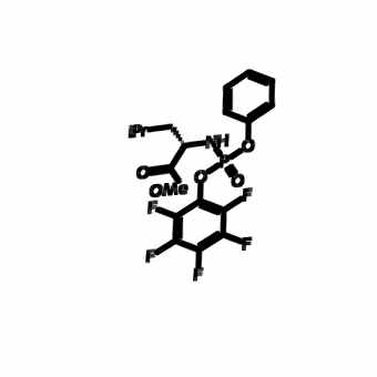 COC(=O)[C@H](CC(C)C)NP(=O)(Oc1ccccc1)Oc1c(F)c(F)c(F)c(F)c1F